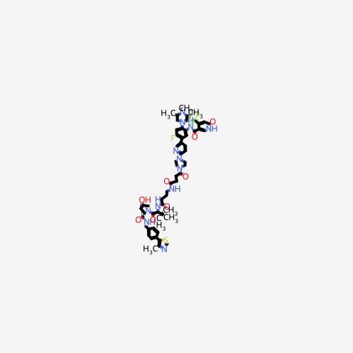 Cc1ncsc1-c1ccc(CNC(=O)[C@@H]2C[C@@H](O)CN2C(=O)C(NC(=O)CCCNC(=O)CCC(=O)N2CCN(c3ccc(-c4cc(NC(=O)c5c[nH]c(=O)cc5C(F)(F)F)c(N5C[C@@H](C)N(C)[C@@H](C)C5)cc4F)cn3)CC2)C(C)(C)C)cc1